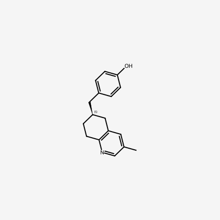 Cc1cnc2c(c1)C[C@H](Cc1ccc(O)cc1)CC2